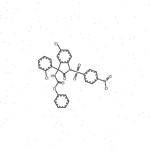 O=C(NC1(c2ccccc2Cl)C(=O)N(S(=O)(=O)c2ccc([N+](=O)[O-])cc2)c2ccc(Cl)cc21)Oc1ccccc1